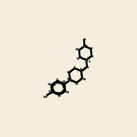 CN1CCN(CC2CCN(c3ccc(I)cc3)CC2)CC1